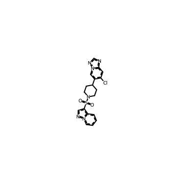 O=S(=O)(c1cnn2ccccc12)N1CCC(c2cn3ncnc3cc2Cl)CC1